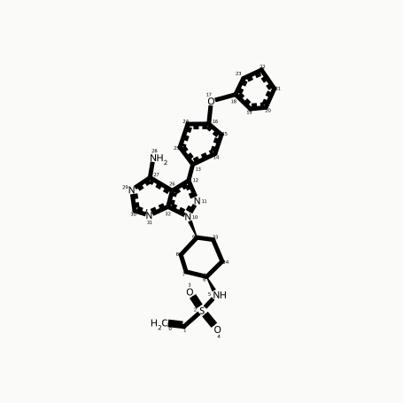 C=CS(=O)(=O)N[C@H]1CC[C@@H](n2nc(-c3ccc(Oc4ccccc4)cc3)c3c(N)ncnc32)CC1